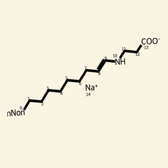 CCCCCCCCCCCCCCCCC=CNCCC(=O)[O-].[Na+]